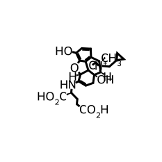 C[N@+]1(CC2CC2)CC[C@]23c4c5ccc(O)c4O[C@H]2C(N[C@@H](CCC(=O)O)C(=O)O)=CC[C@@]3(O)[C@H]1C5